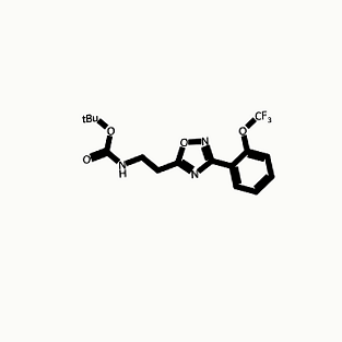 CC(C)(C)OC(=O)NCCc1nc(-c2ccccc2OC(F)(F)F)no1